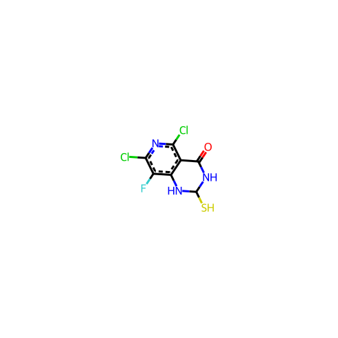 O=C1NC(S)Nc2c(F)c(Cl)nc(Cl)c21